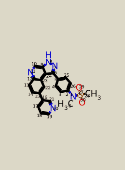 CN(c1ccc(-c2n[nH]c3cnc4ccc(-c5cccnc5)cc4c23)cc1)S(C)(=O)=O